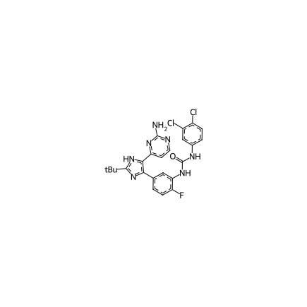 CC(C)(C)c1nc(-c2ccc(F)c(NC(=O)Nc3ccc(Cl)c(Cl)c3)c2)c(-c2ccnc(N)n2)[nH]1